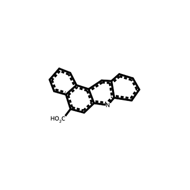 O=C(O)c1cc2nc3ccccc3cc2c2ccccc12